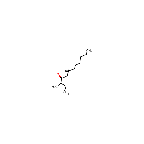 CCCCC[CH2][AlH][CH2]C(=O)C(C)CC